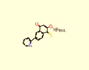 CCCCCOC1=CC(=O)c2cc(-c3ccccn3)ccc2C1=S